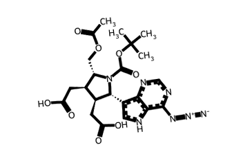 CC(=O)OC[C@H]1[C@H](CC(=O)O)[C@H](CC(=O)O)[C@@H](c2c[nH]c3c(N=[N+]=[N-])ncnc23)N1C(=O)OC(C)(C)C